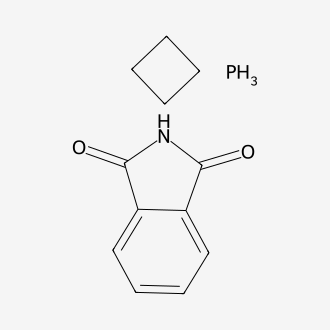 C1CCC1.O=C1NC(=O)c2ccccc21.P